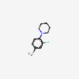 Cc1ccc(N2CCCCC2)c(F)c1